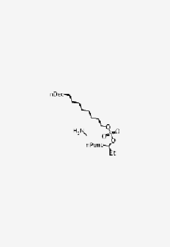 CCCCCCCCCCCCCCCCCCOS(=O)(=O)OC(CC)CCCCC.CN